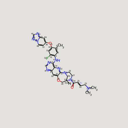 Cc1cc(Nc2ncnc3cc4c(nc23)N2CCN(C(=O)/C=C/CN(C)C)[C@H](CO4)C2)c(F)cc1Oc1ccn2ncnc2c1